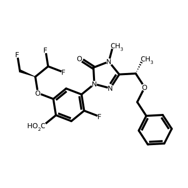 C[C@H](OCc1ccccc1)c1nn(-c2cc(O[C@@H](CF)C(F)F)c(C(=O)O)cc2F)c(=O)n1C